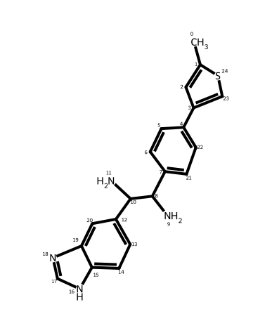 Cc1cc(-c2ccc(C(N)C(N)c3ccc4[nH]cnc4c3)cc2)cs1